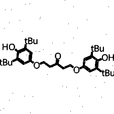 CC(C)(C)c1cc(OCCC(=O)CCOc2cc(C(C)(C)C)c(O)c(C(C)(C)C)c2)cc(C(C)(C)C)c1O